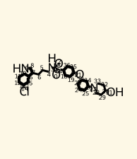 O=S(=O)(NCCCc1c[nH]c2ccc(Cl)cc12)c1ccc(Oc2cccc(N3CCC(O)CC3)c2)cc1